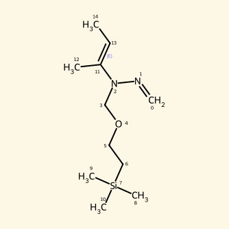 C=NN(COCC[Si](C)(C)C)/C(C)=C/C